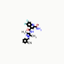 Cc1nn(Cc2ccccc2C#N)c(C)c1NC(=O)c1cc(C(N)=O)nc2cc(F)c(F)cc12